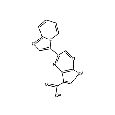 CC(C)(C)C(=O)c1c[nH]c2ncc(-c3cnc4ccccn34)nc12